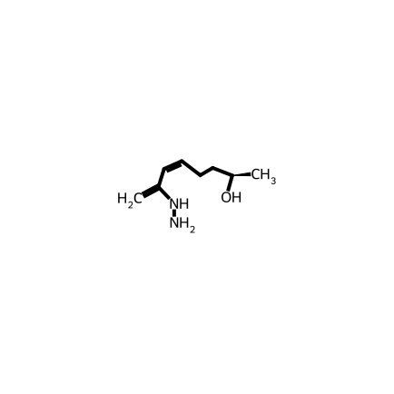 C=C(/C=C\CC[C@@H](C)O)NN